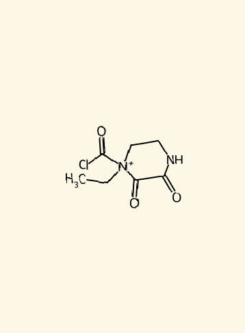 CC[N+]1(C(=O)Cl)CCNC(=O)C1=O